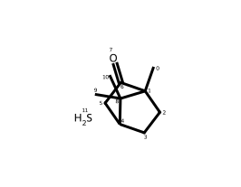 CC12CCC(CC1=O)C2(C)C.S